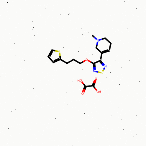 CN1CCC=C(c2nsnc2OCCCc2cccs2)C1.O=C(O)C(=O)O